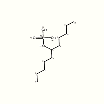 CCCCCC(CCCCC)OP(=O)(O)O